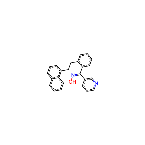 ON=C(c1cccnc1)c1ccccc1CCc1cccc2ccccc12